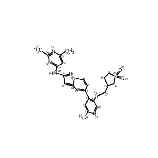 Cc1cc(-c2ccn3nc(Nc4cc(C)nc(C)n4)cc3c2)c(OCC2CCS(=O)(=O)C2)cn1